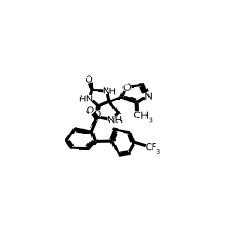 Cc1ncoc1C1(CNC(=O)c2ccccc2-c2ccc(C(F)(F)F)cc2)NC(=O)NC1=O